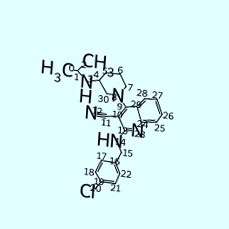 CC(C)NC1CCCN(c2c(C#N)c(NCc3ccc(Cl)cc3)nc3ccccc23)C1